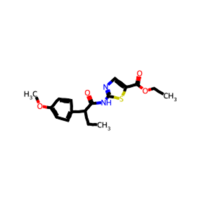 CCOC(=O)c1cnc(NC(=O)C(CC)c2ccc(OC)cc2)s1